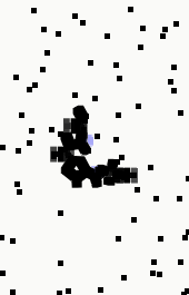 C=CN/C=C(/C)C(=C)NC1CC(C)C(/C(C)=C/P(=C)(C)O)C1